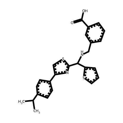 CC(C)c1ccc(-c2csc(C(NCc3cccc(C(=O)O)c3)c3cccs3)n2)cc1